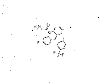 C=C[C@H](Cc1ccc(C(F)(F)F)cc1)[C@@H](Cc1ccc(F)cc1)[C@H](C)OC(=O)CN